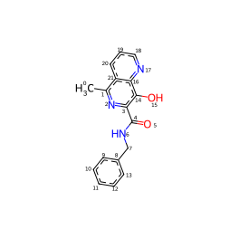 Cc1nc(C(=O)NCc2ccccc2)c(O)c2ncccc12